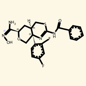 N/C(=N/O)[C@H]1C[C@H]2CSC(NC(=O)c3ccccc3)=N[C@@]2(c2ccc(F)cc2F)CO1